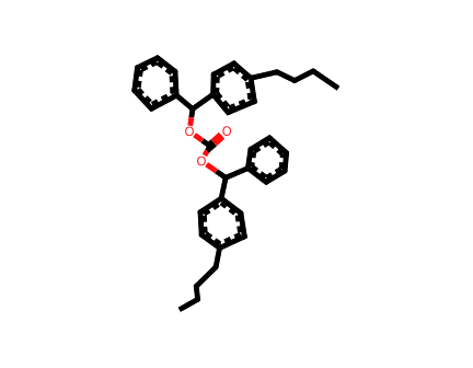 CCCCc1ccc(C(OC(=O)OC(c2ccccc2)c2ccc(CCCC)cc2)c2ccccc2)cc1